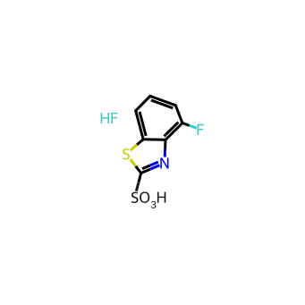 F.O=S(=O)(O)c1nc2c(F)cccc2s1